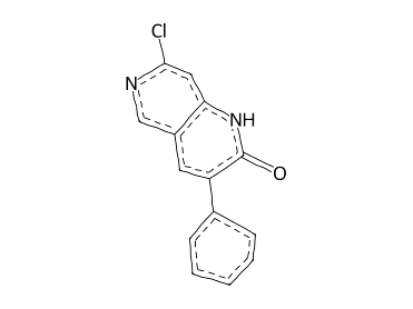 O=c1[nH]c2cc(Cl)ncc2cc1-c1ccccc1